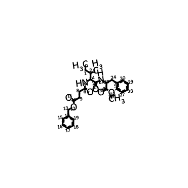 CCC(C)C(NC(=O)CCC(=O)OCc1ccccc1)C(=O)NC(Cc1ccccc1)C(=O)OC